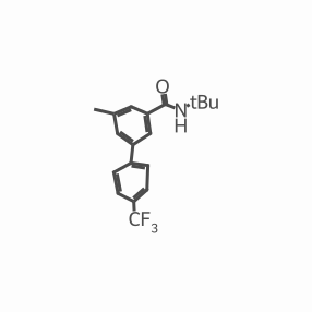 Cc1cc(C(=O)NC(C)(C)C)cc(-c2ccc(C(F)(F)F)cc2)c1